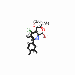 COC(=O)[C@@H](OC(C)(C)C)c1c(CBr)nc(-c2ccc(C)c(C)c2)c(C)c1Cl